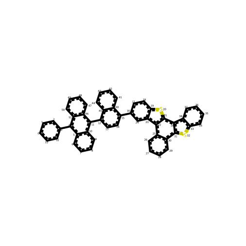 c1ccc(-c2c3ccccc3c(-c3ccc(-c4ccc5sc6c(c5c4)c4ccccc4c4sc5ccccc5c46)c4ccccc34)c3ccccc23)cc1